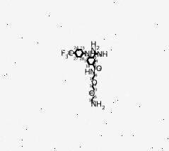 N=C(N)c1cc(C(=O)NCCOCCOCCN)ccc1Nc1ccc(C(F)(F)F)cc1